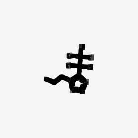 CCCn1nnnc1C(Cl)(Cl)C(Cl)(Cl)Cl